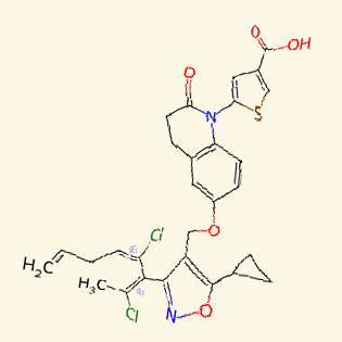 C=CC/C=C(Cl)\C(=C(/C)Cl)c1noc(C2CC2)c1COc1ccc2c(c1)CCC(=O)N2c1cc(C(=O)O)cs1